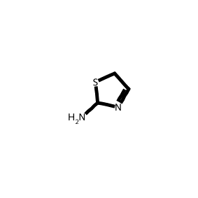 NC1N=CCS1